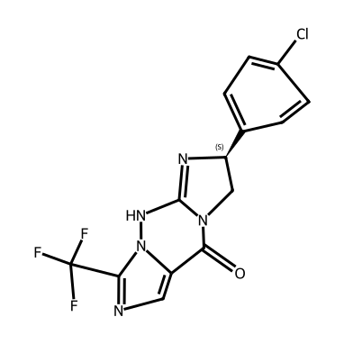 O=C1c2cnc(C(F)(F)F)n2NC2=N[C@@H](c3ccc(Cl)cc3)CN12